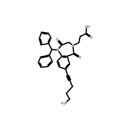 NCCCC#Cc1ccc2c(c1)C(=O)N(CCC(=O)O)CC(=O)N2C(c1ccccc1)c1ccccc1